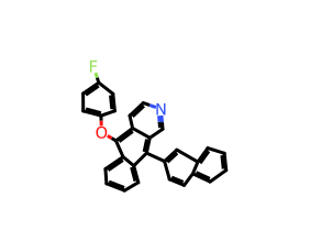 Fc1ccc(Oc2c3ccccc3c(-c3ccc4ccccc4c3)c3cnccc23)cc1